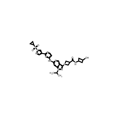 CC(C)n1nc(N2CC(C(=O)NC3CC(O)C3)C2)c2cnc(Nc3ccnc(-c4cnn(S(=O)(=O)C5CC5)c4)n3)cc21